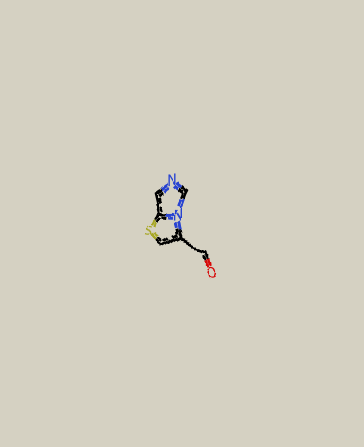 O=Cc1csc2cncn12